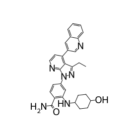 CCc1nn(-c2ccc(C(N)=O)c(NC3CCC(O)CC3)c2)c2nccc(-c3cnc4ccccc4c3)c12